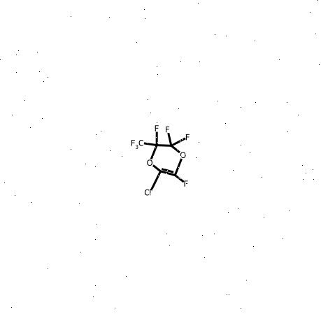 FC1=C(Cl)OC(F)(C(F)(F)F)C(F)(F)O1